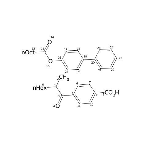 CCCCCCC(C)C(=O)c1ccc(C(=O)O)cc1.CCCCCCCCC(=O)Oc1ccc(-c2ccccc2)cc1